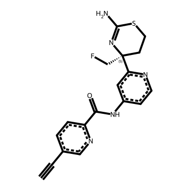 C#Cc1ccc(C(=O)Nc2ccnc([C@]3(CF)CCSC(N)=N3)c2)nc1